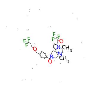 CC1CN(C)C2(CCN(C(=O)c3ccc(COCCC(F)(F)F)cc3)CC2)c2ccc(C(=O)C(F)(F)F)n21